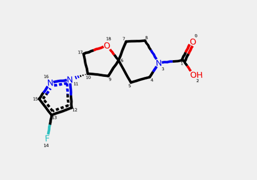 O=C(O)N1CCC2(CC1)C[C@H](n1cc(F)cn1)CO2